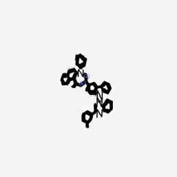 C=C1/C=C(c2ccc3c(c2)c2ccccc2n3N2CC(C3=CC=CC(C)C3)=Nc3ccccc32)\C=C/N(c2ccccc2)c2ccc3ccccc3c21